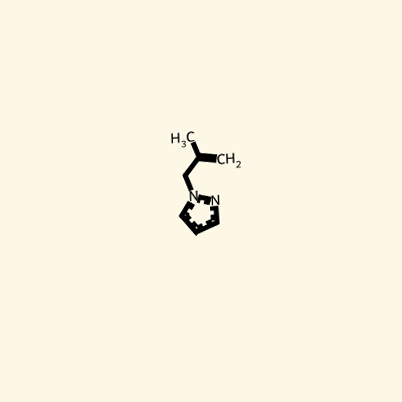 C=C(C)Cn1c[c]cn1